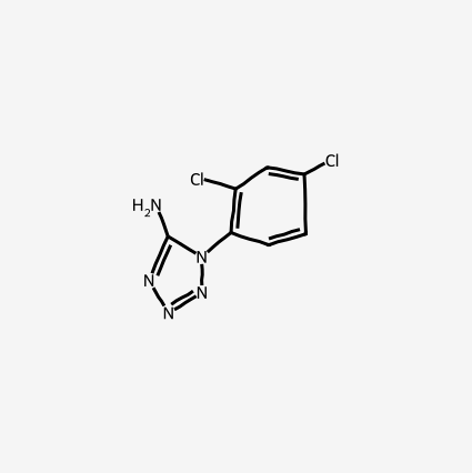 Nc1nnnn1-c1ccc(Cl)cc1Cl